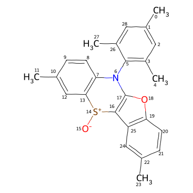 Cc1cc(C)c(N2c3ccc(C)cc3[S+]([O-])c3c2oc2ccc(C)cc32)c(C)c1